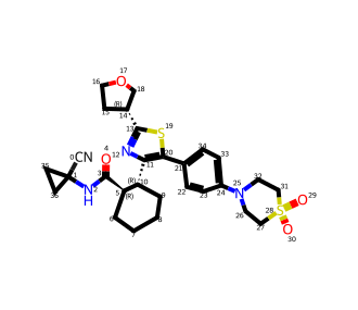 N#CC1(NC(=O)[C@@H]2CCCC[C@H]2c2nc([C@@H]3CCOC3)sc2-c2ccc(N3CCS(=O)(=O)CC3)cc2)CC1